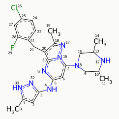 Cc1cc(Nc2cc(N3CC(C)NC(C)C3)n3nc(C)c(Cc4ccc(Cl)cc4F)c3n2)n[nH]1